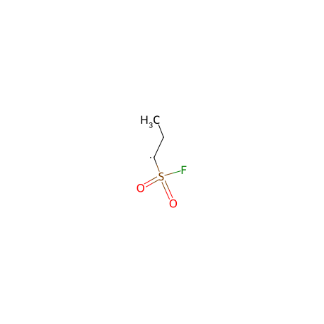 CC[CH]S(=O)(=O)F